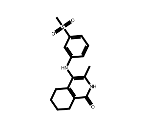 Cc1[nH]c(=O)c2c(c1Nc1cccc(S(C)(=O)=O)c1)CCCC2